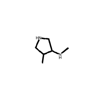 CNC1CNCC1C